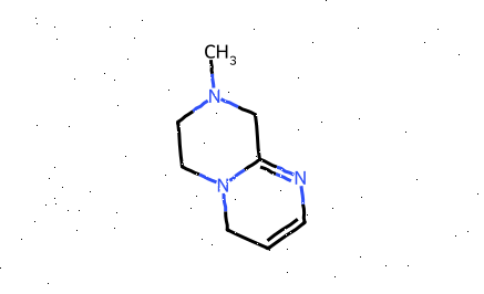 CN1CCN2CC=CN=C2C1